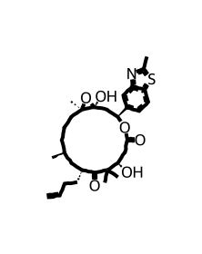 C=CCC[C@@H]1C[C@@H](C)CCC[C@@]2(C)O[C@@]2(O)C[C@@H](c2ccc3sc(C)nc3c2)OC(=O)C[C@H](O)C(C)(C)C1=O